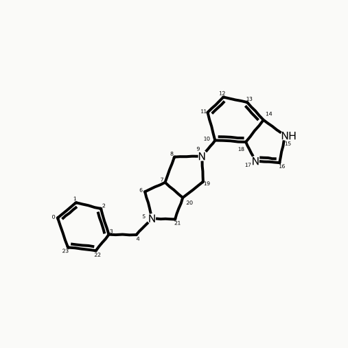 c1ccc(CN2CC3CN(c4cccc5[nH]cnc45)CC3C2)cc1